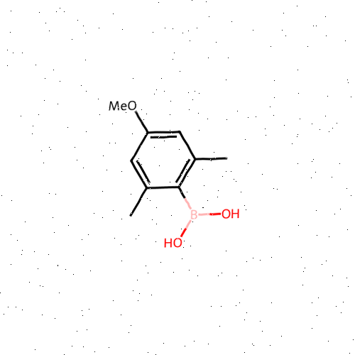 COc1cc(C)c(B(O)O)c(C)c1